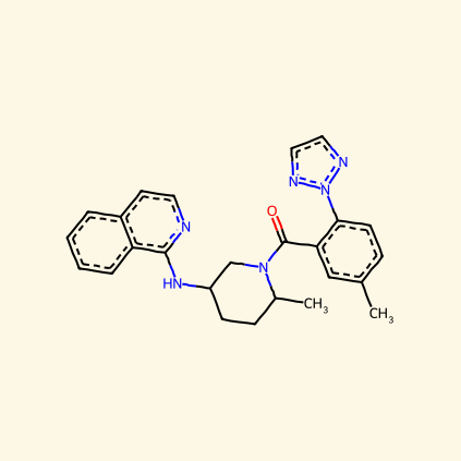 Cc1ccc(-n2nccn2)c(C(=O)N2CC(Nc3nccc4ccccc34)CCC2C)c1